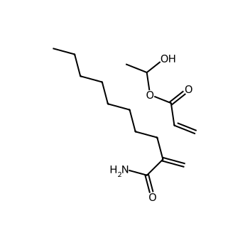 C=C(CCCCCCCC)C(N)=O.C=CC(=O)OC(C)O